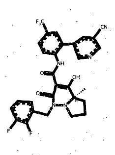 C[C@]12CCCN1N(Cc1cccc(F)c1F)C(=O)C(C(=O)Nc1ccc(C(F)(F)F)cc1-c1cncc(C#N)c1)=C2O